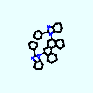 c1ccc(-c2nc3ccccc3n2-c2cc3cc(-n4c(-c5ccccc5)nc5ccccc54)c4ccccc4c3c3ccccc23)cc1